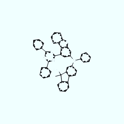 CC1(C)c2ccccc2-c2ccc(N(c3ccccc3)c3cc(-c4nc(-c5ccccc5)nc(-c5ccccc5)n4)c4c(c3)oc3ccccc34)cc21